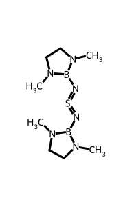 CN1CCN(C)B1N=S=NB1N(C)CCN1C